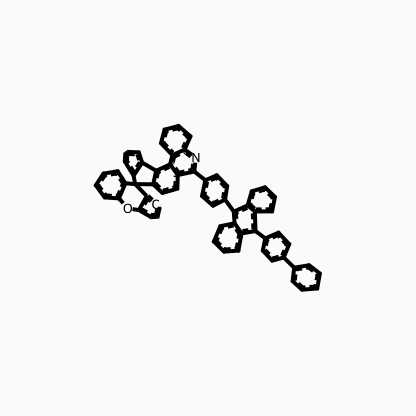 c1ccc(-c2ccc(-c3c4ccccc4c(-c4ccc(-c5nc6ccccc6c6c7c(ccc56)C5(c6ccccc6Oc6ccccc65)c5ccccc5-7)cc4)c4ccccc34)cc2)cc1